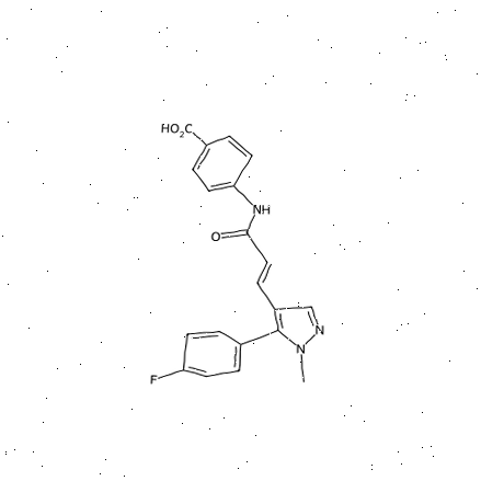 Cn1ncc(/C=C/C(=O)Nc2ccc(C(=O)O)cc2)c1-c1ccc(F)cc1